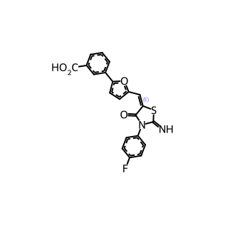 N=C1S/C(=C/c2ccc(-c3cccc(C(=O)O)c3)o2)C(=O)N1c1ccc(F)cc1